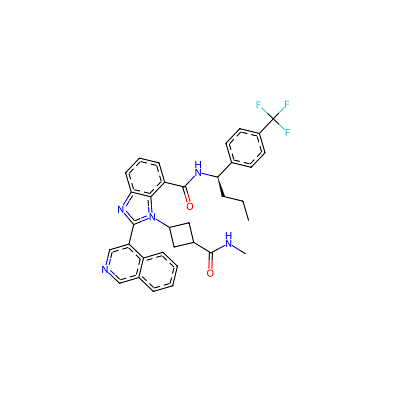 CCC[C@@H](NC(=O)c1cccc2nc(-c3cncc4ccccc34)n(C3CC(C(=O)NC)C3)c12)c1ccc(C(F)(F)F)cc1